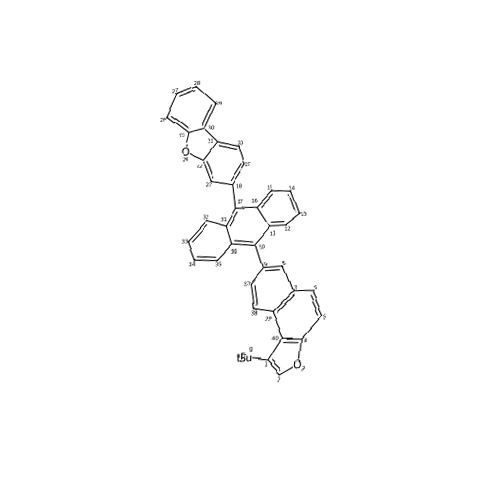 CC(C)(C)c1coc2ccc3cc(-c4c5ccccc5c(-c5ccc6c(c5)oc5ccccc56)c5ccccc45)ccc3c12